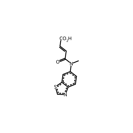 CN(C(=O)C=CC(=O)O)c1ccc2ncsc2c1